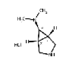 CN(C)[C@H]1[C@@H]2CNC[C@@H]21.Cl